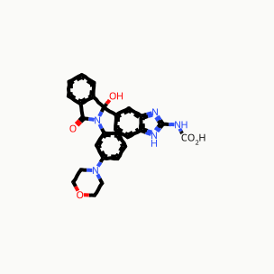 O=C(O)Nc1nc2cc(C3(O)c4ccccc4C(=O)N3c3cccc(N4CCOCC4)c3)ccc2[nH]1